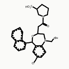 CC(C)(C)CN1CC(CC(=O)N2CCCC(C(=O)O)C2)OC(c2cccc3ccccc23)c2cc(Cl)ccc21